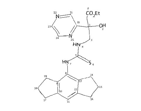 CCOC(=O)C(O)(CNC(=S)Nc1c2c(cc3c1CCC3)CCC2)c1cnccn1